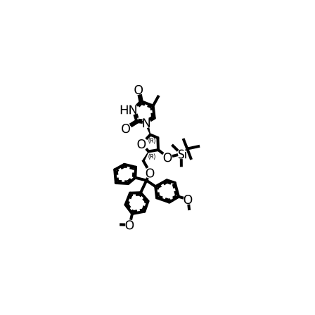 COc1ccc(C(OC[C@H]2O[C@@H](n3cc(C)c(=O)[nH]c3=O)CC2O[Si](C)(C)C(C)(C)C)(c2ccccc2)c2ccc(OC)cc2)cc1